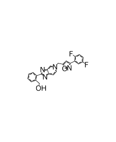 OCc1ccccc1-c1nc2ccn(Cc3cc(-c4cc(F)ccc4F)no3)cc-2n1